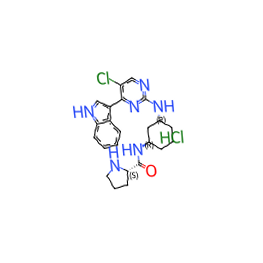 Cl.O=C(N[C@@H]1CCC[C@@H](Nc2ncc(Cl)c(-c3c[nH]c4ccccc34)n2)C1)[C@@H]1CCCN1